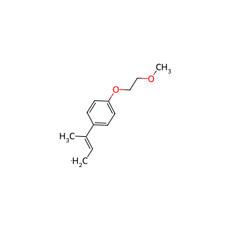 [CH2]C=C(C)c1ccc(OCCOC)cc1